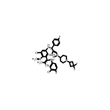 C=Nc1c(Cl)cc(N[C@H](C2=CN(C3CCN(C4CC(F)(F)C4)CC3)NN2)c2ccc(F)cc2)cc1/C(Nc1ccc(F)c(Cl)c1)=C(\C)C#N